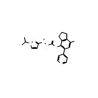 CC(C)n1ccc([S+]([O-])NC(=O)Nc2c(-c3ccncc3)cc(F)c3c2CCC3)n1